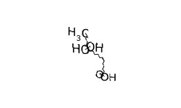 CCCCCC(O)(O)CCCCC/C=C\CCCCC(=O)O